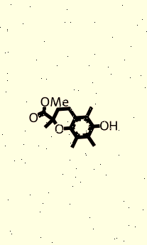 COC(=O)C1(C)CCc2c(C)c(O)c(C)c(C)c2O1